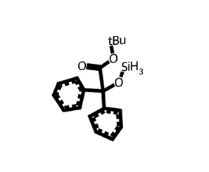 CC(C)(C)OC(=O)C(O[SiH3])(c1ccccc1)c1ccccc1